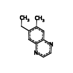 CCc1cc2nccnc2cc1C